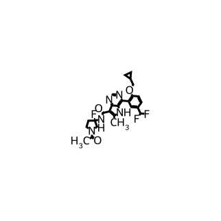 CC(=O)N1CC[C@](F)(NC(=O)c2c(C)[nH]c3c(-c4cc(C(F)F)ccc4OCC4CC4)ncnc23)C1